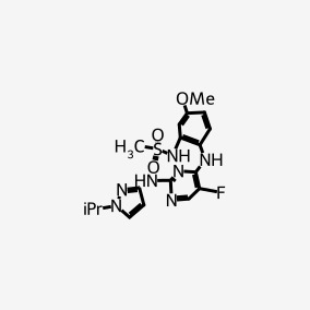 COc1ccc(Nc2nc(Nc3ccn(C(C)C)n3)ncc2F)c(NS(C)(=O)=O)c1